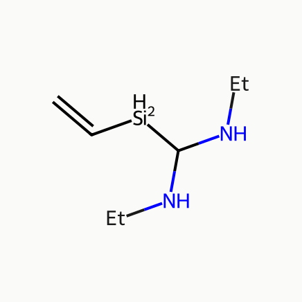 C=C[SiH2]C(NCC)NCC